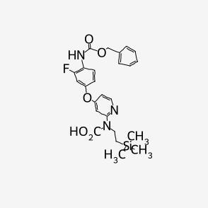 C[Si](C)(C)CCN(C(=O)O)c1cc(Oc2ccc(NC(=O)OCc3ccccc3)c(F)c2)ccn1